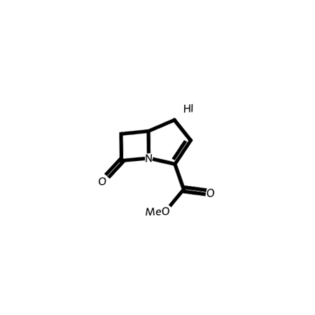 COC(=O)C1=CCC2CC(=O)N12.I